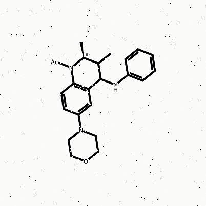 CC(=O)N1c2ccc(N3CCOCC3)cc2C(Nc2ccccc2)C(C)[C@@H]1C